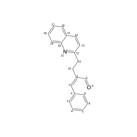 O=[C]C(=Cc1ccccc1)CCc1ccc2ccccc2n1